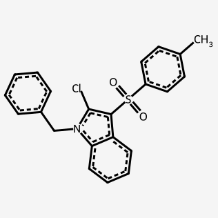 Cc1ccc(S(=O)(=O)c2c(Cl)n(Cc3ccccc3)c3ccccc23)cc1